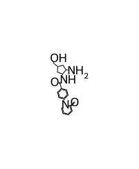 NC1CC(CO)CC1NC(=O)c1ccc(-n2ccccc2=O)cc1